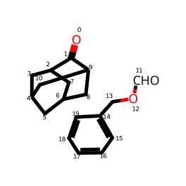 O=C1C2CC3CC(C2)CC1C3.O=COCc1ccccc1